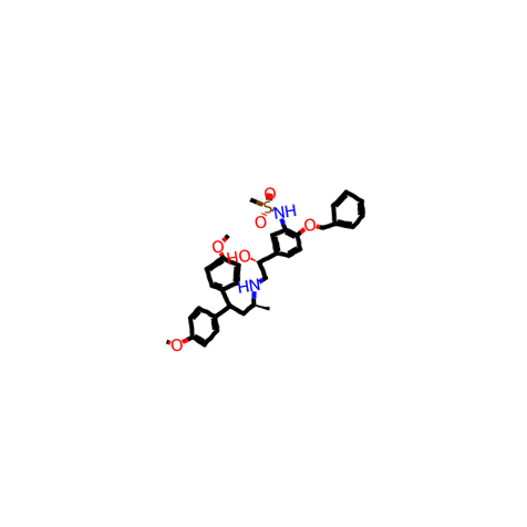 COc1ccc(C(C[C@H](C)NC[C@H](O)c2ccc(OCc3ccccc3)c(NS(C)(=O)=O)c2)c2ccc(OC)cc2)cc1